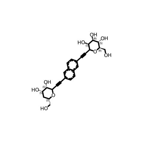 OC[C@@H]1C[C@H](O)[C@H](O)C(C#Cc2ccc3cc(C#CC4O[C@H](CO)[C@@H](O)[C@H](O)[C@@H]4O)ccc3c2)O1